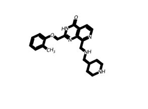 Cc1ccccc1OCc1nc2c(CNCC3CCNCC3)nccc2c(=O)[nH]1